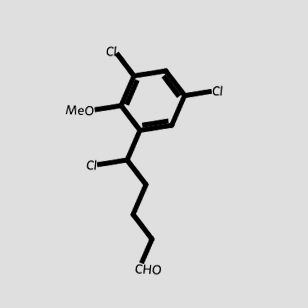 COc1c(Cl)cc(Cl)cc1C(Cl)CCCC=O